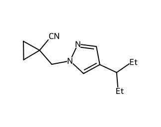 CCC(CC)c1cnn(CC2(C#N)CC2)c1